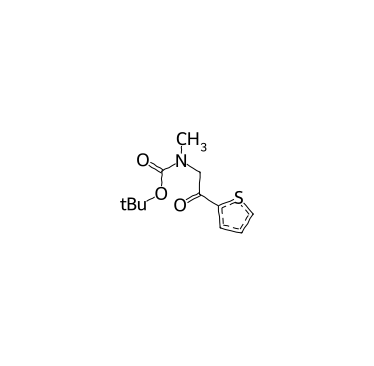 CN(CC(=O)c1cccs1)C(=O)OC(C)(C)C